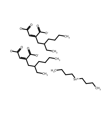 CCCCC(CC)C/C(=C/C(=O)[O-])C(=O)[O-].CCCCC(CC)C/C(=C/C(=O)[O-])C(=O)[O-].CCC[CH2][Sn+4][CH2]CCC